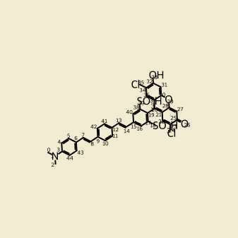 CN(C)c1ccc(/C=C/c2ccc(/C=C/c3cc(S(=O)(=O)O)c(-c4c5cc(Cl)c(=O)cc-5oc5cc(O)c(Cl)cc45)c(S(=O)(=O)O)c3)cc2)cc1